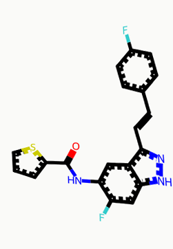 O=C(Nc1cc2c(C=Cc3ccc(F)cc3)n[nH]c2cc1F)c1cccs1